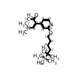 CC(=O)/C(=C\N(C)C)c1ccnc(OCCCCC(C)(C)[Si](C)(C)O)c1